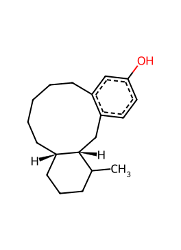 CC1CCC[C@@H]2CCCCCc3cc(O)ccc3C[C@H]12